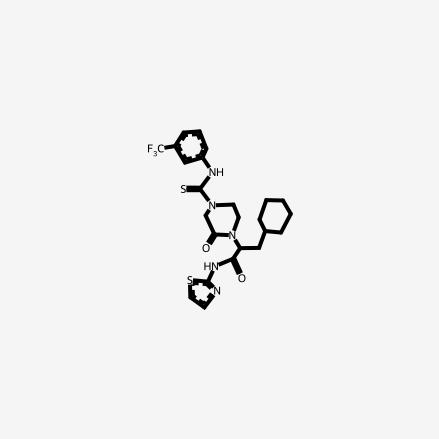 O=C(Nc1nccs1)C(CC1CCCCC1)N1CCN(C(=S)Nc2cccc(C(F)(F)F)c2)CC1=O